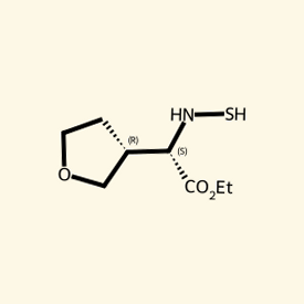 CCOC(=O)[C@@H](NS)[C@H]1CCOC1